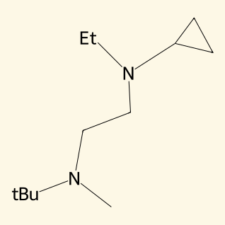 CCN(CCN(C)C(C)(C)C)C1CC1